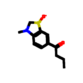 CCCC(=O)c1ccc2c(c1)[S+]([O-])CN2C